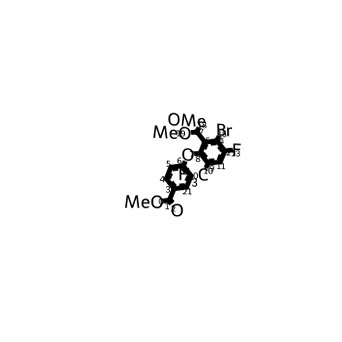 COC(=O)c1ccc(Oc2c(C)cc(F)c(Br)c2C(OC)OC)cc1